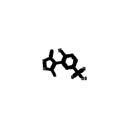 CC1=C(c2cc(S(=O)(=O)O)ccc2Cl)C(=O)N=N1